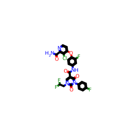 NC(=O)c1nccc(Oc2ccc(NC(=O)c3cn(CC(F)F)c(=O)n(-c4ccc(F)cc4)c3=O)cc2F)c1Cl